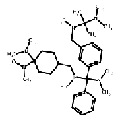 CN(C)C(C)(C)N(C)Cc1cccc(C(c2ccccc2)(N(C)C)N(C)CC2CCC(N(C)C)(N(C)C)CC2)c1